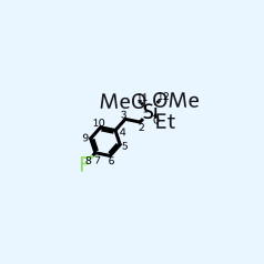 CC[Si](CCc1ccc(F)cc1)(OC)OC